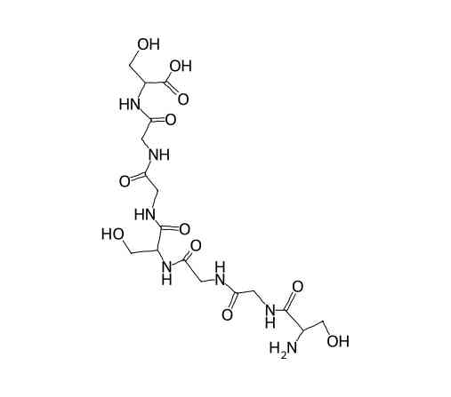 NC(CO)C(=O)NCC(=O)NCC(=O)NC(CO)C(=O)NCC(=O)NCC(=O)NC(CO)C(=O)O